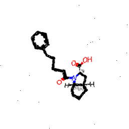 O=C(O)[C@@H]1C[C@@H]2CCC[C@@H]2N1C(=O)CCCCc1ccccc1